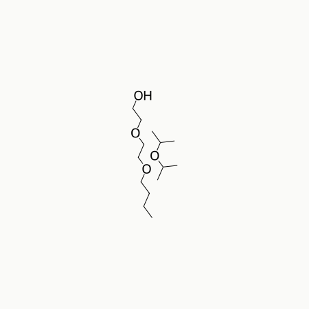 CC(C)OC(C)C.CCCCOCCOCCO